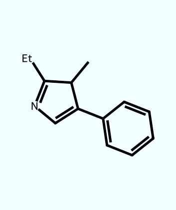 CCC1=NC=C(c2ccccc2)C1C